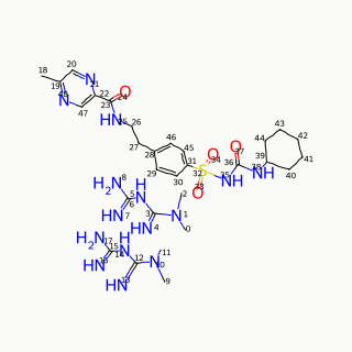 CN(C)C(=N)NC(=N)N.CN(C)C(=N)NC(=N)N.Cc1cnc(C(=O)NCCc2ccc(S(=O)(=O)NC(=O)NC3CCCCC3)cc2)cn1